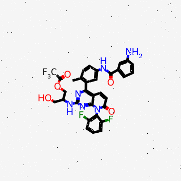 Cc1ccc(NC(=O)c2cccc(N)c2)cc1-c1nc(NC(CO)COC(=O)C(F)(F)F)nc2c1ccc(=O)n2-c1c(F)cccc1F